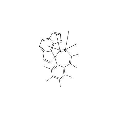 CC1=C(C)c2c(C)c(C)c(C)c(C)c2C2(C=Cc3ccc4ccoc4c32)c2c(C)c(C)c(C)c(C)c21